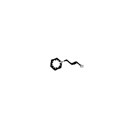 CCC=CC[n+]1ccccc1